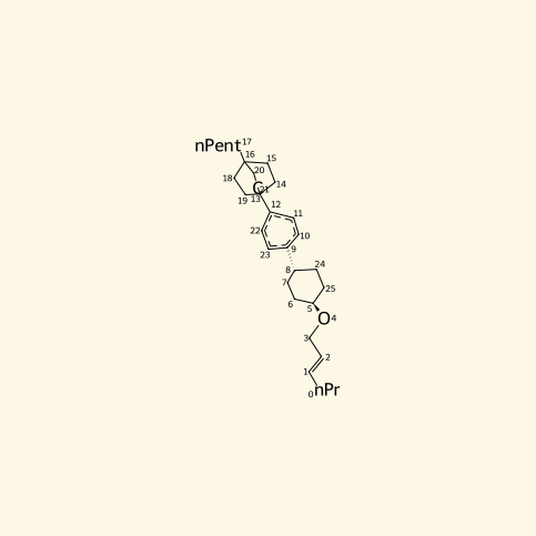 CCC/C=C/CO[C@H]1CC[C@H](c2ccc(C34CCC(CCCCC)(CC3)CC4)cc2)CC1